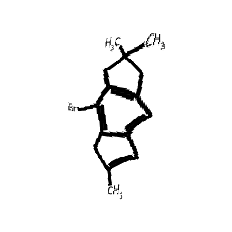 CC1=Cc2cc3c(c(Br)c2C1)CC(C)(C)C3